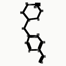 C=Cc1ccc(CC2CCNCC2)cc1